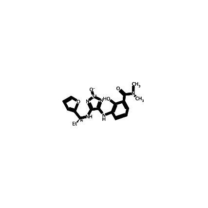 CC[C@@H](Nc1n[s+]([O-])nc1Nc1cccc(C(=O)N(C)C)c1O)c1ccco1